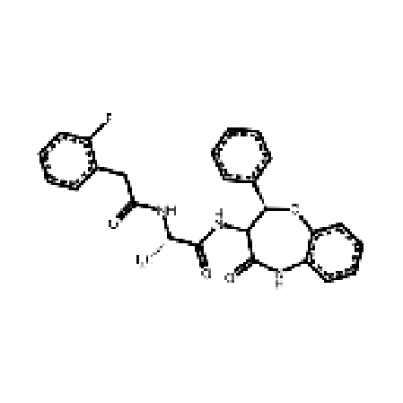 C[C@H](NC(=O)Cc1ccccc1F)C(=O)N[C@@H]1C(=O)Nc2ccccc2O[C@@H]1c1ccccc1